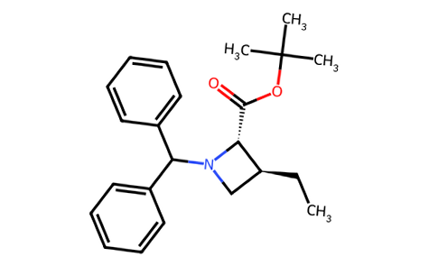 CC[C@H]1CN(C(c2ccccc2)c2ccccc2)[C@@H]1C(=O)OC(C)(C)C